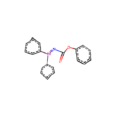 O=C(N=[PH](c1ccccc1)c1ccccc1)Oc1ccccc1